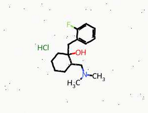 CN(C)CC1CCCCC1(O)Cc1ccccc1F.Cl